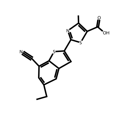 CCc1cc(C#N)c2sc(-c3nc(C)c(C(=O)O)s3)cc2c1